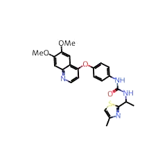 COc1cc2nccc(Oc3ccc(NC(=O)NC(C)c4nc(C)cs4)cc3)c2cc1OC